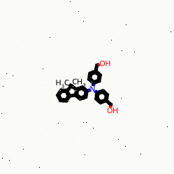 CC1(C)c2ccccc2-c2ccc(N(c3ccc(CO)cc3)c3ccc(CO)cc3)cc21